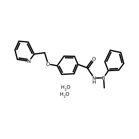 CB(NC(=O)c1ccc(OCc2ccccn2)cc1)c1ccccc1.O.O